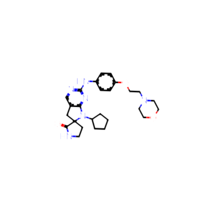 O=C1NCCC12Cc1cnc(Nc3ccc(OCCN4CCOCC4)cc3)nc1N2C1CCCC1